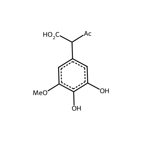 COc1cc(C(C(C)=O)C(=O)O)cc(O)c1O